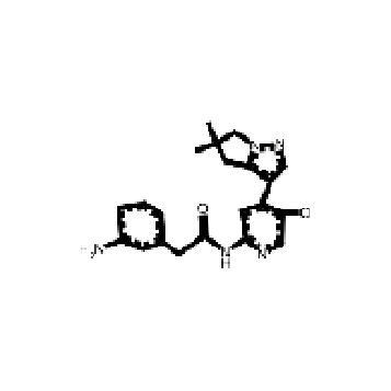 CC1(C)Cc2c(-c3cc(NC(=O)Cc4cccc(N)c4)ncc3Cl)cnn2C1